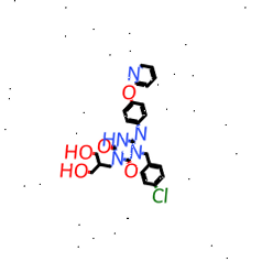 O=c1[nH]/c(=N\c2ccc(Oc3ccccn3)cc2)n(Cc2ccc(Cl)cc2)c(=O)n1CC(CO)CO